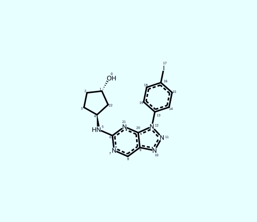 O[C@H]1CC[C@H](Nc2ncc3nnn(-c4ccc(I)cc4)c3n2)C1